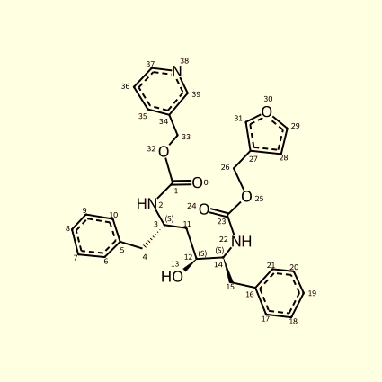 O=C(N[C@@H](Cc1ccccc1)C[C@H](O)[C@H](Cc1ccccc1)NC(=O)OCc1ccoc1)OCc1cccnc1